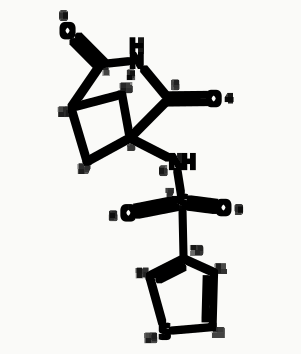 O=C1NC(=O)C2(NS(=O)(=O)c3ccsc3)CC1C2